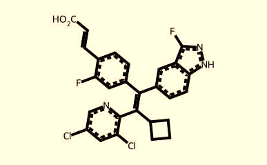 O=C(O)C=Cc1ccc(/C(=C(\c2ncc(Cl)cc2Cl)C2CCC2)c2ccc3[nH]nc(F)c3c2)cc1F